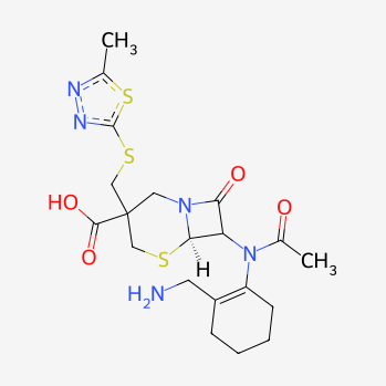 CC(=O)N(C1=C(CN)CCCC1)C1C(=O)N2CC(CSc3nnc(C)s3)(C(=O)O)CS[C@H]12